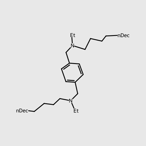 CCCCCCCCCCCCCCN(CC)Cc1ccc(CN(CC)CCCCCCCCCCCCCC)cc1